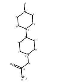 CN1CCN(C2CCN(CC(N)=O)CC2)CC1